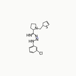 N=C(/N=N\Nc1cccc(Cl)c1)C1CCCN1CC1CC=CS1